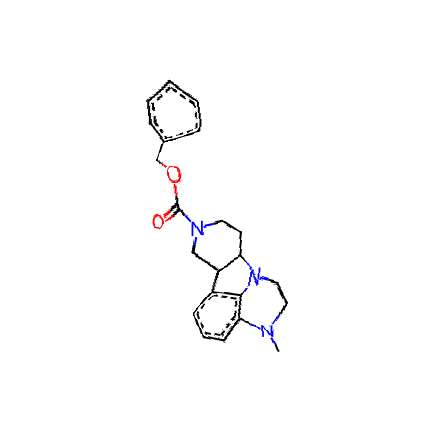 CN1CCN2c3c(cccc31)C1CN(C(=O)OCc3ccccc3)CCC12